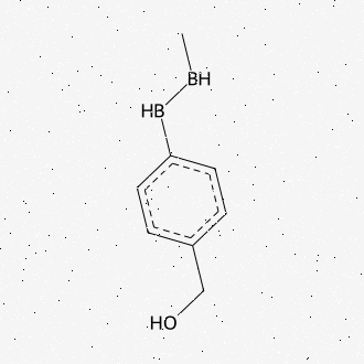 CBBc1ccc(CO)cc1